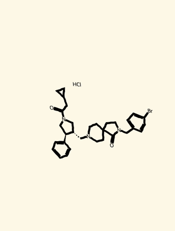 Cl.O=C(CC1CC1)N1C[C@H](CN2CCC3(CC2)CCN(Cc2ccc(Br)cc2)C3=O)[C@@H](c2ccccc2)C1